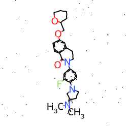 CN(C)[C@@H]1CCN(c2ccc(N3CCc4cc(OCC5CCCCO5)ccc4C3=O)cc2F)C1